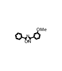 COc1cccc(-c2noc(-c3ccccc3)n2)c1